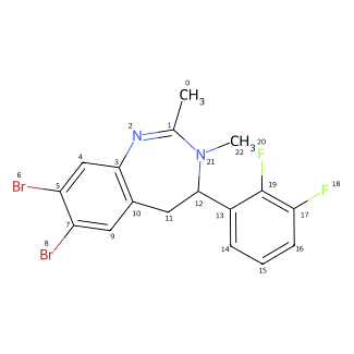 CC1=Nc2cc(Br)c(Br)cc2CC(c2cccc(F)c2F)N1C